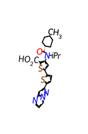 CC(C)N(c1cc(-c2ccc(-c3cc4ncccn4n3)s2)sc1C(=O)O)C(=O)[C@H]1CC[C@H](C)CC1